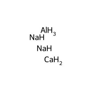 [AlH3].[CaH2].[NaH].[NaH]